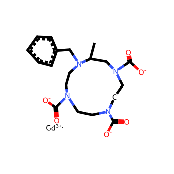 CC1CN(C(=O)[O-])CCN(C(=O)[O-])CCN(C(=O)[O-])CCN1Cc1ccccc1.[Gd+3]